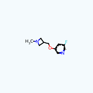 CN1CC(COc2cn[c]c(F)c2)C1